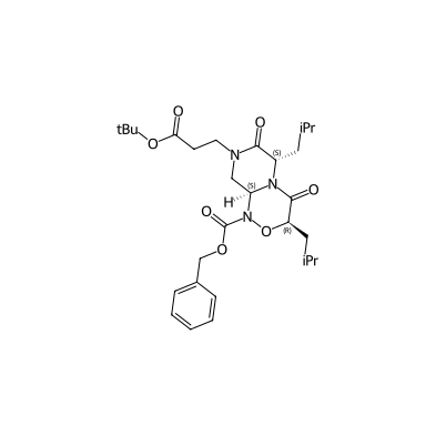 CC(C)C[C@H]1ON(C(=O)OCc2ccccc2)[C@H]2CN(CCC(=O)OC(C)(C)C)C(=O)[C@H](CC(C)C)N2C1=O